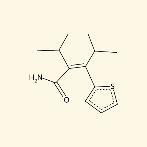 CC(C)C(C(N)=O)=C(c1cccs1)C(C)C